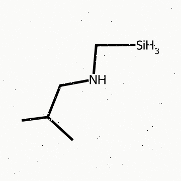 CC(C)CNC[SiH3]